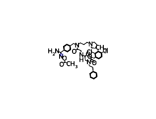 CC(=O)O/N=C(/N)c1ccc(CN(CCCN2CCCC2)C(=O)CNC(=O)CN(CCc2ccccc2)S(=O)(=O)c2ccc(Cl)c(C)c2Cl)cc1